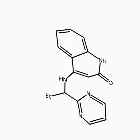 CCC(Nc1cc(=O)[nH]c2ccccc12)c1ncccn1